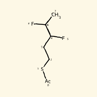 CC(=O)SCCC(F)C(C)F